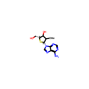 COC1C(O)[C@@H](CO)S[C@H]1n1cnc2c(N)ncnc21